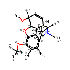 [2H]OC1([2H])C=C[C@@]2([2H])[C@@H]3N(C)CC[C@@]24c2c(c(OC([2H])([2H])[2H])c([2H])c([2H])c2C3([2H])[2H])OC14